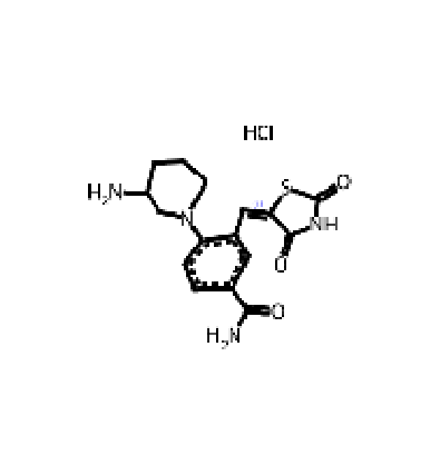 Cl.NC(=O)c1ccc(N2CCCC(N)C2)c(/C=C2/SC(=O)NC2=O)c1